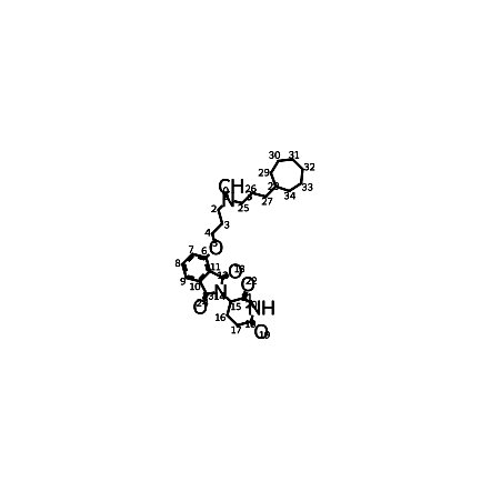 CN(CCCOc1cccc2c1C(=O)N(C1CCC(=O)NC1=O)C2=O)CCCC1CCCCCC1